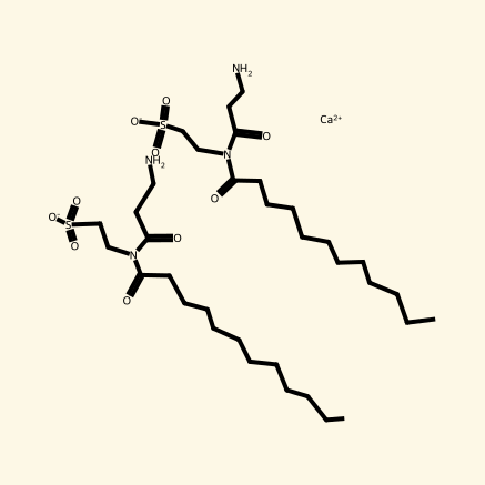 CCCCCCCCCCCC(=O)N(CCS(=O)(=O)[O-])C(=O)CCN.CCCCCCCCCCCC(=O)N(CCS(=O)(=O)[O-])C(=O)CCN.[Ca+2]